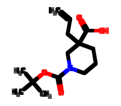 C=CCC1(C(=O)O)CCCN(C(=O)OC(C)(C)C)C1